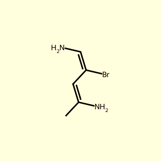 C/C(N)=C/C(Br)=C\N